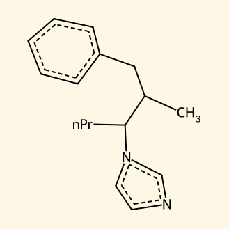 CCCC(C(C)Cc1ccccc1)n1ccnc1